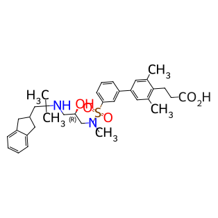 Cc1cc(-c2cccc(S(=O)(=O)N(C)C[C@H](O)CNC(C)(C)CC3Cc4ccccc4C3)c2)cc(C)c1CCC(=O)O